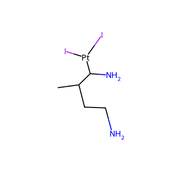 CC(CCN)[CH](N)[Pt]([I])[I]